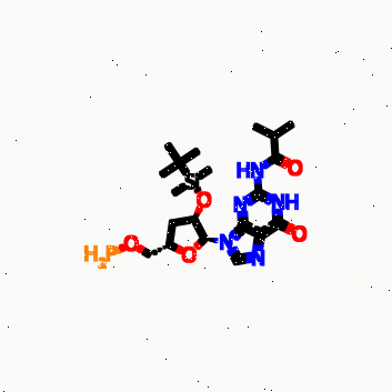 CC(C)C(=O)Nc1nc2c(ncn2[C@@H]2O[C@H](COP)C[C@H]2O[Si](C)(C)C(C)(C)C)c(=O)[nH]1